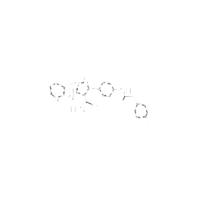 NC(=O)c1c(-c2ccc(NC(=O)Cc3ccc(C(F)(F)F)cc3)cc2)n[nH]c1Nc1ccccn1